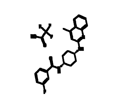 Cc1cc(N[C@H]2CC[C@@H](NC(=O)c3cccc(F)c3)CC2)nc2ccccc12.O=C(O)C(F)(F)F